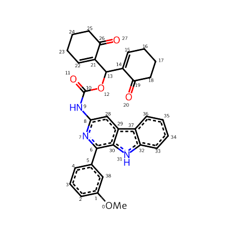 COc1cccc(-c2nc(NC(=O)OC(C3=CCCCC3=O)C3=CCCCC3=O)cc3c2[nH]c2ccccc23)c1